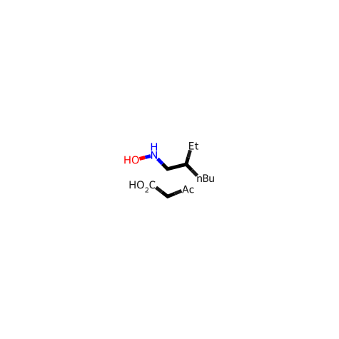 CC(=O)CC(=O)O.CCCCC(CC)CNO